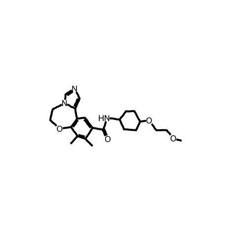 COCCOC1CCC(NC(=O)c2cc3c(c(C)c2C)OCCn2cncc2-3)CC1